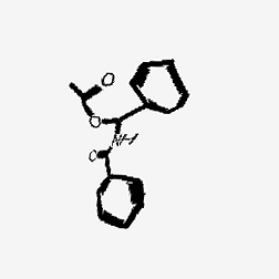 CC(=O)OC(NC(=O)c1ccccc1)c1ccccc1